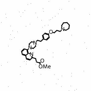 COC(=O)CCc1ccc2cccc(N3CCN(CCc4ccc(OCCCN5CCCCCC5)cc4)CC3)c2n1